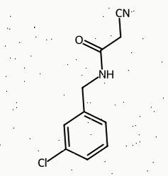 N#CCC(=O)NCc1cccc(Cl)c1